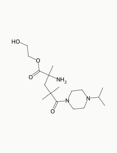 CC(C)N1CCN(C(=O)C(C)(C)CC(C)(N)C(=O)OCCO)CC1